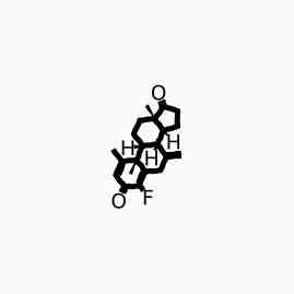 C=C1CC2=C(F)C(=O)C=C(C)[C@]2(C)[C@@H]2CC[C@]3(C)C(=O)CC[C@H]3[C@H]12